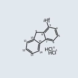 Cl.Cl.[Hf][c]1cccc2c1Cc1ccccc1-2